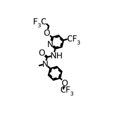 CN(C(=O)Nc1cc(C(F)(F)F)cc(OCC(F)(F)F)n1)c1ccc(OC(F)(F)F)cc1